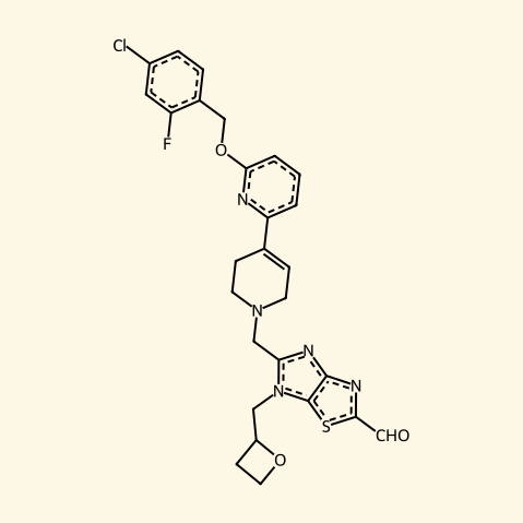 O=Cc1nc2nc(CN3CC=C(c4cccc(OCc5ccc(Cl)cc5F)n4)CC3)n(CC3CCO3)c2s1